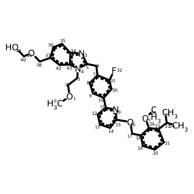 COCCn1c(Cc2ccc(-c3cccc(OCc4cccc(C(C)C)c4OC)n3)cc2F)nc2ccc(COCO)cc21